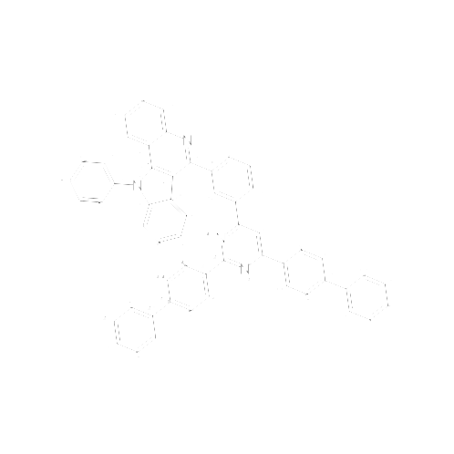 c1ccc(-c2ccc(-c3cc(-c4cccc(-c5nc6ccccc6c6c5c5ccccc5n6-c5ccccc5)c4)nc(-c4ccc(-c5ccccc5)cc4)n3)cc2)cc1